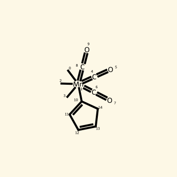 [CH3][Mn]([CH3])([CH3])(=[C]=O)(=[C]=O)(=[C]=O)[C]1=CC=CC1